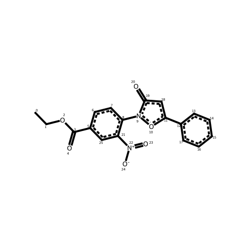 CCOC(=O)c1ccc(-n2oc(-c3ccccc3)cc2=O)c([N+](=O)[O-])c1